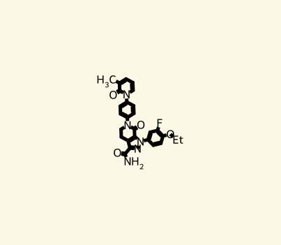 CCOc1ccc(-n2nc(C(N)=O)c3c2C(=O)N(c2ccc(-n4cccc(C)c4=O)cc2)CC3)cc1F